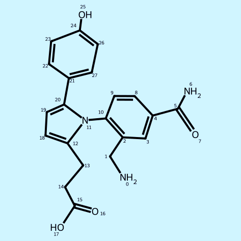 NCc1cc(C(N)=O)ccc1-n1c(CCC(=O)O)ccc1-c1ccc(O)cc1